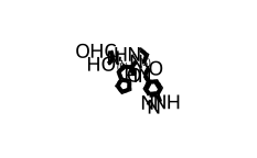 O=CN(O)C[C@@H](CC1CCCC1)C(=O)N1NCC[C@H]1C(=O)Nc1ccc2[nH]nnc2c1